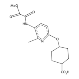 COC(=O)C(=O)Nc1ccc(OC2CCC(C(=O)O)CC2)nc1C